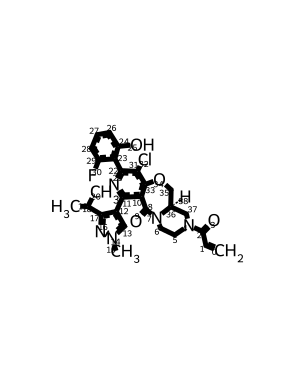 C=CC(=O)N1CCN2C(=O)c3c(-c4cn(C)nc4C(C)C)nc(-c4c(O)cccc4F)c(Cl)c3OC[C@H]2C1